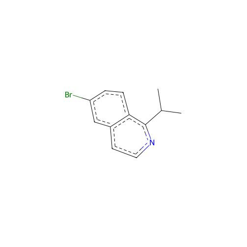 CC(C)c1nccc2cc(Br)ccc12